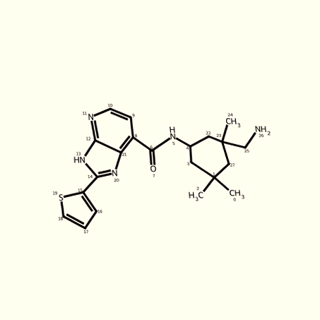 CC1(C)CC(NC(=O)c2ccnc3[nH]c(-c4cccs4)nc23)CC(C)(CN)C1